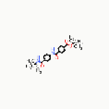 CC(C)(C)NC(=O)c1ccc(NC(=O)c2ccc(C(=O)OC(C)(C)C)cc2)cc1